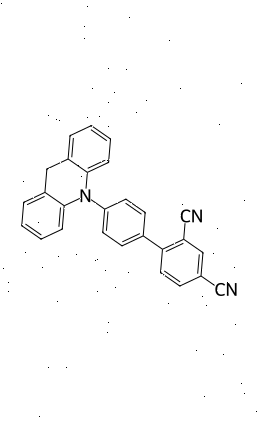 N#Cc1ccc(-c2ccc(N3c4ccccc4Cc4ccccc43)cc2)c(C#N)c1